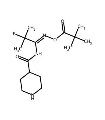 CC(C)(C)C(=O)O/N=C(\NC(=O)C1CCNCC1)C(C)(C)F